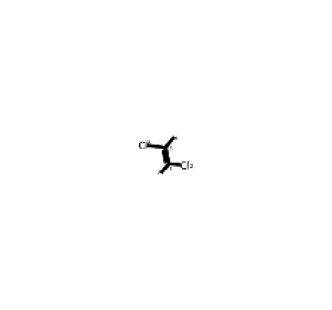 C/C(Cl)=C(/C)Cl